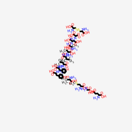 CC(C)C[C@H](N)C(=O)O.CC(C)[C@H](N)C(=O)O.CC[C@H](C)[C@H](N)C(=O)O.CSCC[C@H](N)C(=O)O.C[C@@H](O)[C@H](N)C(=O)O.C[C@H](N)C(=O)O.NCC(=O)O.N[C@@H](CC(=O)O)C(=O)O.N[C@@H](CCC(=O)O)C(=O)O.N[C@@H](CO)C(=O)O.N[C@@H](CSSC[C@H](N)C(=O)O)C(=O)O.N[C@@H](Cc1ccc(O)cc1)C(=O)O.N[C@@H](Cc1ccccc1)C(=O)O